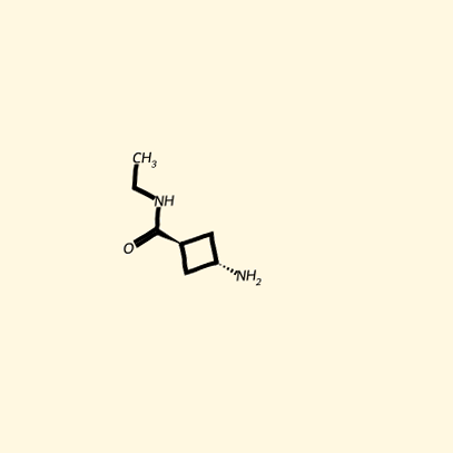 CCNC(=O)[C@H]1C[C@H](N)C1